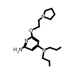 CCCN(CCC)c1cc(N)nc(OCCN2CCCC2)c1